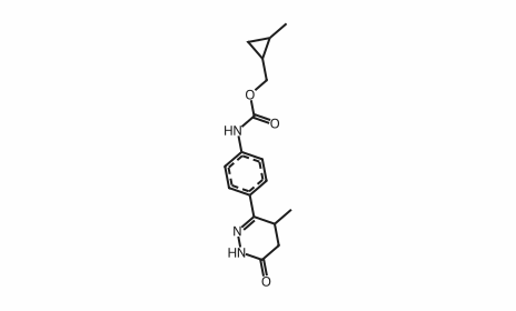 CC1CC(=O)NN=C1c1ccc(NC(=O)OCC2CC2C)cc1